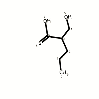 CCCC(CO)C(O)=S